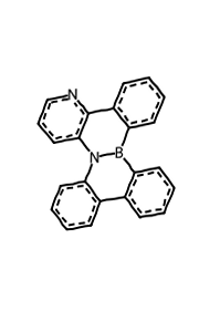 c1ccc2c(c1)B1c3ccccc3-c3ncccc3N1c1ccccc1-2